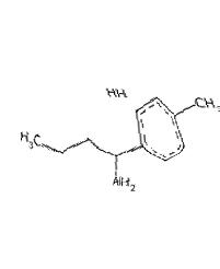 CCC[CH]([AlH2])c1ccc(C)cc1.[HH]